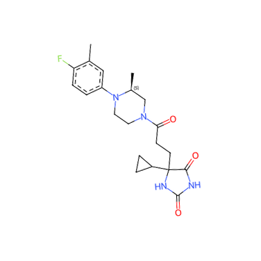 Cc1cc(N2CCN(C(=O)CCC3(C4CC4)NC(=O)NC3=O)C[C@@H]2C)ccc1F